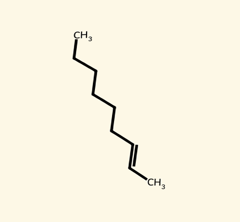 C/C=C/CCCCCC